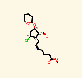 COC(=O)CCC/C=C\C[C@@H]1[C@@H](C=O)[C@H](OC2CCCCO2)C[C@@H]1Cl